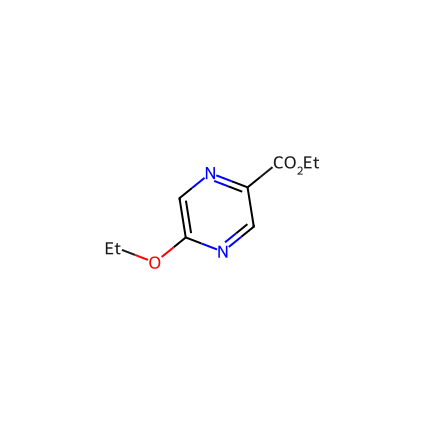 CCOC(=O)c1cnc(OCC)cn1